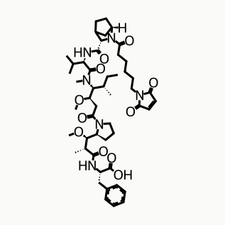 CC[C@H](C)[C@@H]([C@@H](CC(=O)N1CCC[C@H]1[C@H](OC)[C@@H](C)C(=O)N[C@@H](Cc1ccccc1)C(=O)O)OC)N(C)C(=O)[C@@H](NC(=O)[C@@H]1C2CC[C@@H](C2)N1C(=O)CCCCCN1C(=O)C=CC1=O)C(C)C